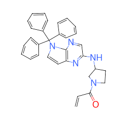 C=CC(=O)N1CCC(Nc2cnc3c(ccn3C(c3ccccc3)(c3ccccc3)c3ccccc3)n2)C1